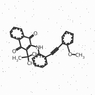 COc1ccccc1C#Cc1ccccc1NC1=C(C(C)(C)C)C(=O)c2ccccc2C1=O